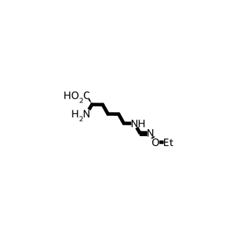 CCON=CNCCCC[C@H](N)C(=O)O